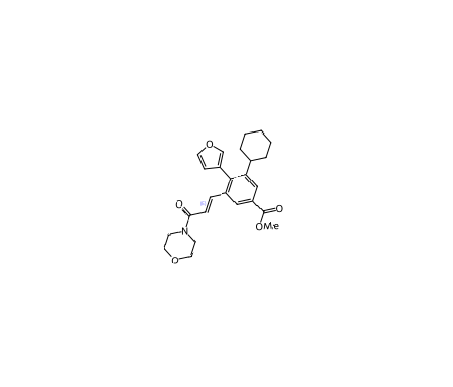 COC(=O)c1cc(/C=C/C(=O)N2CCOCC2)c(-c2ccoc2)c(C2CCCCC2)c1